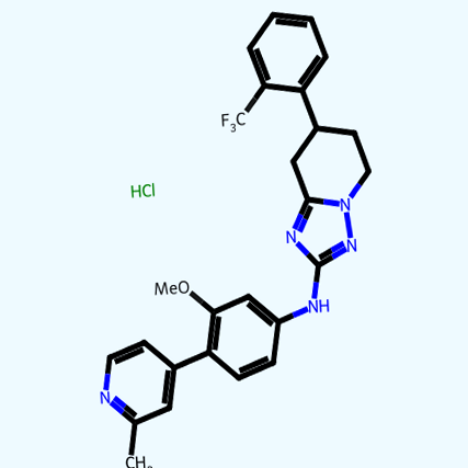 COc1cc(Nc2nc3n(n2)CCC(c2ccccc2C(F)(F)F)C3)ccc1-c1ccnc(C)c1.Cl